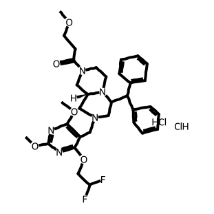 COCCC(=O)N1CCN2C(C(c3ccccc3)c3ccccc3)CN(Cc3c(OC)nc(OC)nc3OCC(F)F)C[C@@H]2C1.Cl.Cl